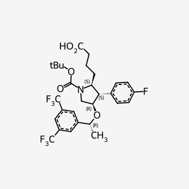 C[C@@H](O[C@H]1CN(C(=O)OC(C)(C)C)[C@@H](CCCC(=O)O)[C@@H]1c1ccc(F)cc1)c1cc(C(F)(F)F)cc(C(F)(F)F)c1